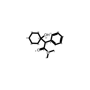 CN(C)C(=O)C(c1ccccc1)C1(O)CCCCC1